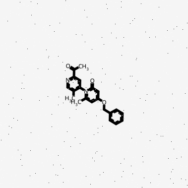 CC(=O)c1cc(-n2c(C)cc(OCc3ccccc3)cc2=O)c(C)cn1